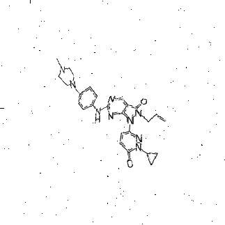 C=CCn1c(=O)c2cnc(Nc3ccc(N4CCN(C)CC4)cc3)nc2n1-c1ccc(=O)n(C2CC2)n1